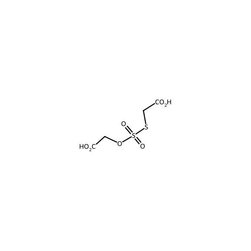 O=C(O)COS(=O)(=O)SCC(=O)O